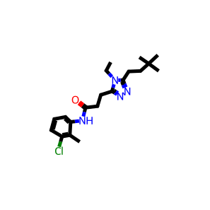 CCn1c(CCC(=O)Nc2cccc(Cl)c2C)nnc1CCC(C)(C)C